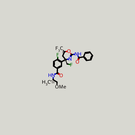 COC[C@H](C)NC(=O)c1ccc(F)c([C@]2(CF)C[C@@H](C(F)(F)F)OC(NC(=O)c3ccccc3)=N2)c1